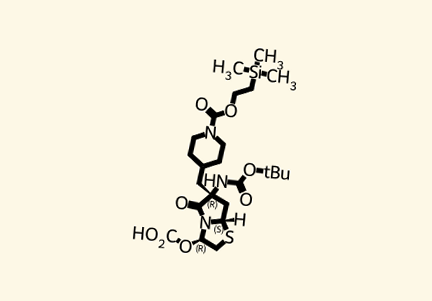 CC(C)(C)OC(=O)N[C@]1(CC2CCN(C(=O)OCC[Si](C)(C)C)CC2)C[C@@H]2SC[C@@H](OC(=O)O)N2C1=O